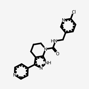 O=C(NCc1ccc(Cl)nc1)N1CCCc2c(-c3ccncc3)n[nH]c21